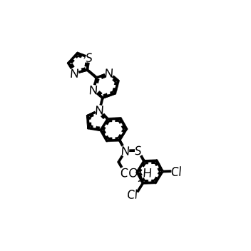 O=C(O)CN(Sc1cc(Cl)cc(Cl)c1)c1ccc2c(ccn2-c2ccnc(-c3nccs3)n2)c1